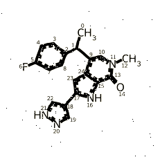 CC(c1ccc(F)cc1)c1cn(C)c(=O)c2[nH]c(-c3cn[nH]c3)cc12